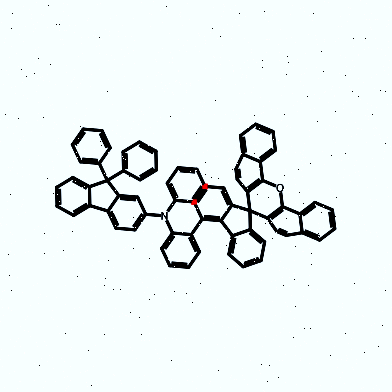 c1ccc(N(c2ccc3c(c2)C(c2ccccc2)(c2ccccc2)c2ccccc2-3)c2ccccc2-c2cccc3c2-c2ccccc2C32c3ccc4ccccc4c3Oc3c2ccc2ccccc32)cc1